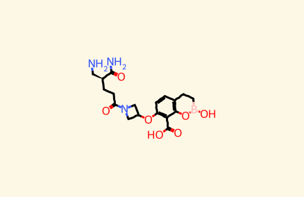 NC[C@H](CCC(=O)N1CC(Oc2ccc3c(c2C(=O)O)OB(O)CC3)C1)C(N)=O